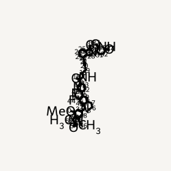 COc1cc(N2CCCc3cc(-c4ccc(C(=O)NCCC#Cc5cccc6c5CN(C5CCC(=O)NC5=O)C6=O)nc4)c(C(F)F)cc32)cc2c1n(C)c(=O)n2C